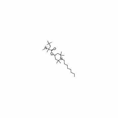 CCCCCCCCN1C(C)(C)CC(OC(=O)C(C)(CC(C)(C)C)N(C)C)CC1(C)C